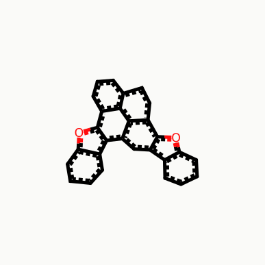 c1ccc2c(c1)oc1c2cc2c3c4ccccc4oc3c3cccc4ccc1c2c43